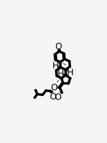 CC(C)CCC(=O)OC(C=O)=C1CC[C@H]2[C@@H]3CCC4=CC(=O)C=C[C@]4(C)[C@H]3CC[C@]12C